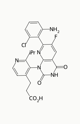 CC(C)c1nccc(CCC(=O)O)c1-n1c(=O)[nH]c(=O)c2cc(F)c(-c3c(N)cccc3Cl)nc21